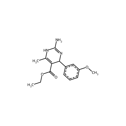 CCOC(=O)C1=C(C)NC(N)=NC1c1cccc(OC)c1